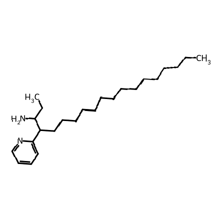 CCCCCCCCCCCCCCCC(c1ccccn1)C(N)CC